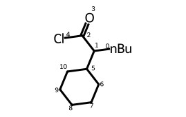 CCCCC(C(=O)Cl)C1CCCCC1